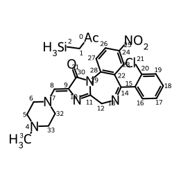 CC(=O)C[SiH3].CN1CCN(/C=C2\N=C3CN=C(c4ccccc4Cl)c4cc([N+](=O)[O-])ccc4N3C2=O)CC1